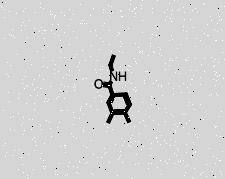 CCNC(=O)c1ccc(C)c(C)c1